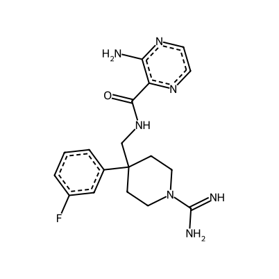 N=C(N)N1CCC(CNC(=O)c2nccnc2N)(c2cccc(F)c2)CC1